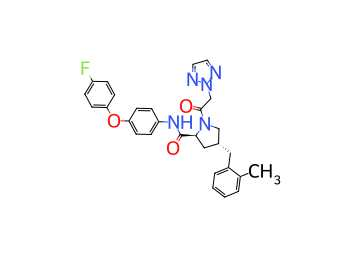 Cc1ccccc1C[C@@H]1C[C@@H](C(=O)Nc2ccc(Oc3ccc(F)cc3)cc2)N(C(=O)Cn2nccn2)C1